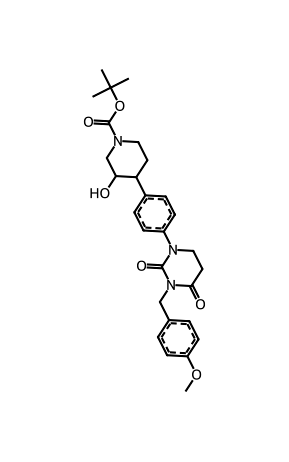 COc1ccc(CN2C(=O)CCN(c3ccc(C4CCN(C(=O)OC(C)(C)C)CC4O)cc3)C2=O)cc1